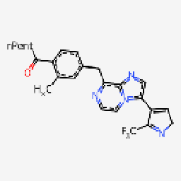 CCCCCC(=O)c1ccc(Cc2nccn3c(C4=CCN=C4C(F)(F)F)cnc23)cc1C